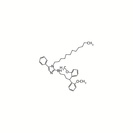 CCCCCCCCCCCCn1c(-c2ccccc2)cnc1BCCCC(c1ccccc1OC)c1ccccc1OC